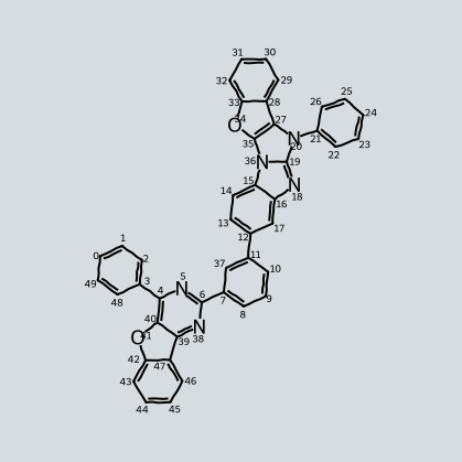 c1ccc(-c2nc(-c3cccc(-c4ccc5c(c4)nc4n(-c6ccccc6)c6c7ccccc7oc6n54)c3)nc3c2oc2ccccc23)cc1